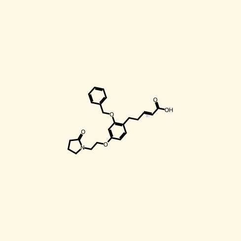 O=C(O)/C=C/CCc1ccc(OCCN2CCCC2=O)cc1OCc1ccccc1